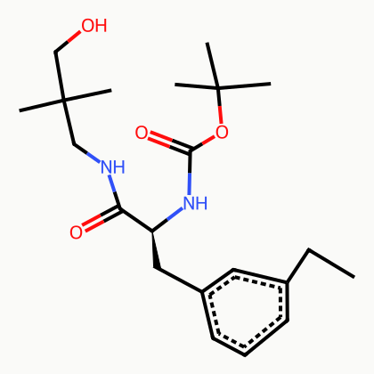 CCc1cccc(C[C@H](NC(=O)OC(C)(C)C)C(=O)NCC(C)(C)CO)c1